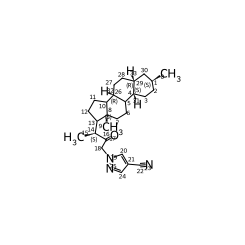 C[C@H]1CC[C@@H]2C3CC[C@@]4(C)C(CCC4[C@H](C)C(=O)Cn4cc(C#N)cn4)[C@@H]3CC[C@@H]2C1